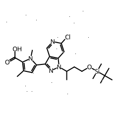 Cc1cc(-c2nn(C(C)CCO[Si](C)(C)C(C)(C)C)c3cc(Cl)ncc23)n(C)c1C(=O)O